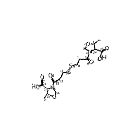 CC1OCN(C(=O)CCSSCCC(=O)N2CO[C@@H](C)[C@H]2C(=O)O)C1C(=O)O